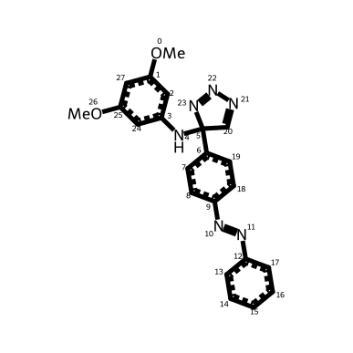 COc1cc(NC2(c3ccc(/N=N/c4ccccc4)cc3)C=NN=N2)cc(OC)c1